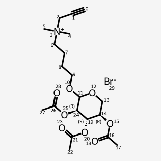 C#CC[N+](C)(C)CCCCOC1OC[C@@H](OC(C)=O)[C@H](OC(C)=O)[C@H]1OC(C)=O.[Br-]